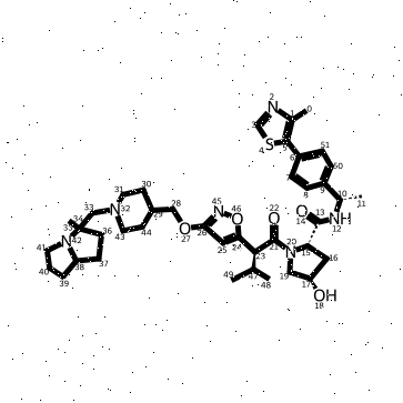 Cc1ncsc1-c1ccc([C@H](C)NC(=O)[C@@H]2C[C@@H](O)CN2C(=O)[C@H](c2cc(OCC3CCN(CC4(C)CCC5CCCN54)CC3)no2)C(C)C)cc1